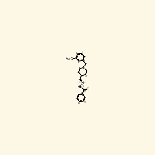 COc1cccc(CN2CCC(/C=N/NC(=O)c3ccccn3)CC2)c1